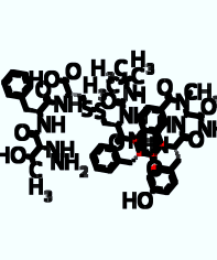 CC(O)[C@H](NN)C(=O)N[C@@H](Cc1ccccc1)C(=O)N[C@@H](CSSC[C@@H](NC(=O)N(I)C(C)(C)C)C(=O)N[C@@H](Cc1ccccc1)C(=O)N[C@@H](Cc1ccc(O)cc1)C(=O)N[C@@H](C(N)=O)N(C)C(=O)c1ccc2ccccc2c1)C(=O)O